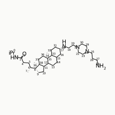 CC(C)NC(=O)CC[C@@H](C)[C@H]1CCC2C3CCC4C[C@@H](NCCN5CCN(CCCN)CC5)CC[C@]4(C)C3CC[C@@]21C